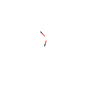 N.[SiH3]O[SiH3]